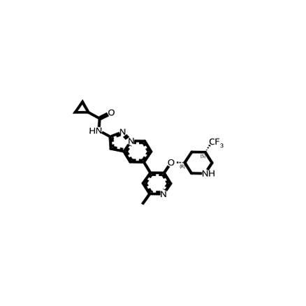 Cc1cc(-c2ccn3nc(NC(=O)C4CC4)cc3c2)c(O[C@H]2CNC[C@@H](C(F)(F)F)C2)cn1